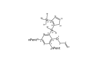 C=CCOc1c(CCCCC)cc(CCCCC)cc1[Si](C)(C)C1=C([Si](C)(C)C)C=CC1